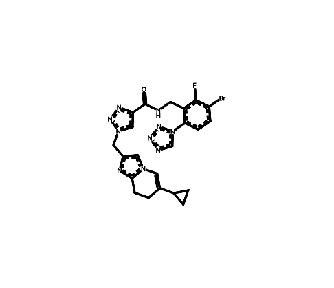 O=C(NCc1c(-n2cnnn2)ccc(Br)c1F)c1cn(Cc2cn3c(n2)CCC(C2CC2)=C3)nn1